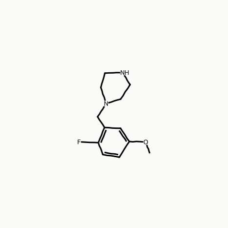 COc1ccc(F)c(CN2CCNCC2)c1